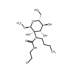 CCCCN(C(=O)NCCCl)[C@@]1(O)[C@@H](OC)O[C@H](CO)[C@@H](O)[C@@H]1O